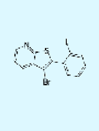 Brc1c(-c2ccccc2I)sc2ncccc12